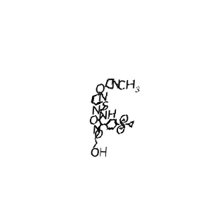 CN1CC[C@H](Oc2ccc3nc(NC(=O)/C(=N/OCCCO)c4ccc(S(=O)(=O)C5CC5)cc4)sc3n2)C1